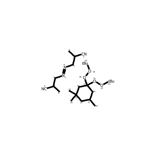 CC(C#N)CN=NCC(C)C#N.CC1CC(C)(C)CC(OOC(C)(C)C)(OOC(C)(C)C)C1